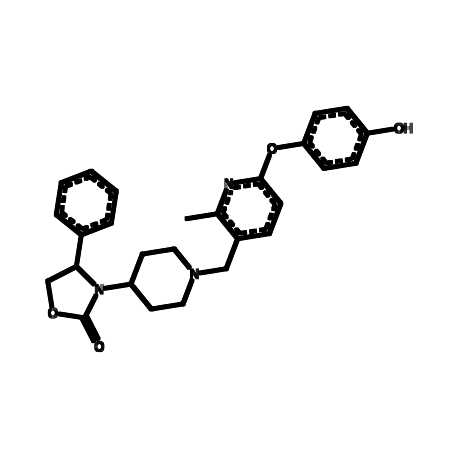 Cc1nc(Oc2ccc(O)cc2)ccc1CN1CCC(N2C(=O)OCC2c2ccccc2)CC1